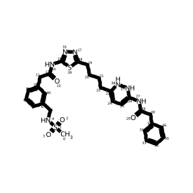 CS(=O)(=O)NCc1cccc(CC(=O)Nc2nnc(CCCCC3=CC=C(NC(=O)Cc4ccccc4)NN3)s2)c1